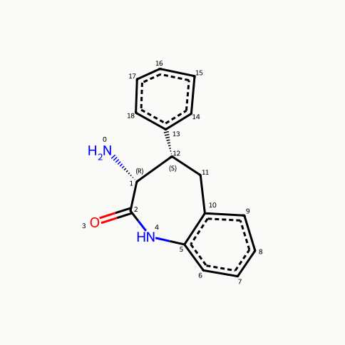 N[C@H]1C(=O)Nc2ccccc2C[C@H]1c1ccccc1